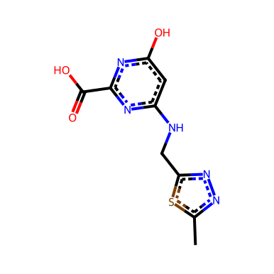 Cc1nnc(CNc2cc(O)nc(C(=O)O)n2)s1